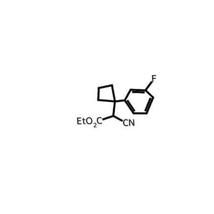 CCOC(=O)C(C#N)C1(c2cccc(F)c2)CCC1